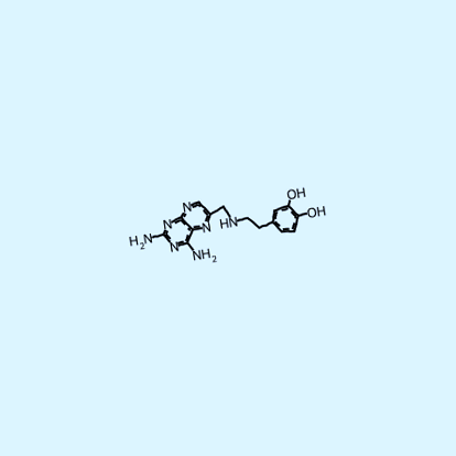 Nc1nc(N)c2nc(CNCCc3ccc(O)c(O)c3)cnc2n1